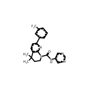 CC1(C)CCN(C(=O)Nc2cncnc2)c2nc(-c3cccc(C(F)(F)F)c3)ccc21